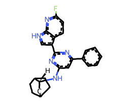 Fc1ccc2c(-c3nc(N[C@@H]4CC5CCC4CC5)cc(-c4ccccc4)n3)c[nH]c2n1